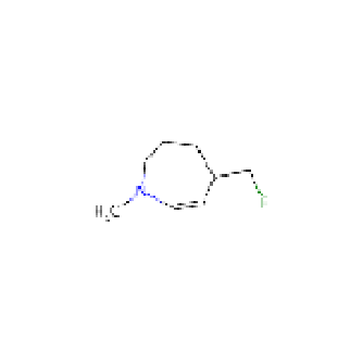 CN1C=CC(CF)CCC1